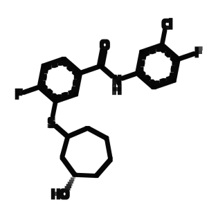 O=C(Nc1ccc(F)c(Cl)c1)c1ccc(F)c(SC2CCCC[C@H](O)C2)c1